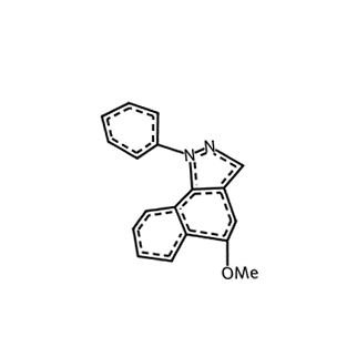 COc1cc2cnn(-c3ccccc3)c2c2ccccc12